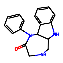 O=C1CNCC2Nc3ccccc3C2N1c1ccccc1